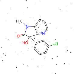 CN1C(=O)C(O)(c2cccc(Cl)c2)c2ncccc21